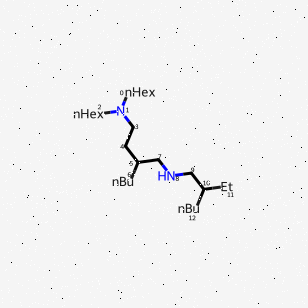 CCCCCCN(CCCCCC)CCC(CCCC)CNCC(CC)CCCC